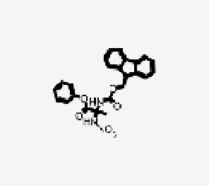 CC(NC(=O)OCC1c2ccccc2-c2ccccc21)(N[N+](=O)[O-])C(=O)Oc1ccccc1